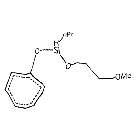 CCC[SiH](OCCOC)Oc1ccccc1